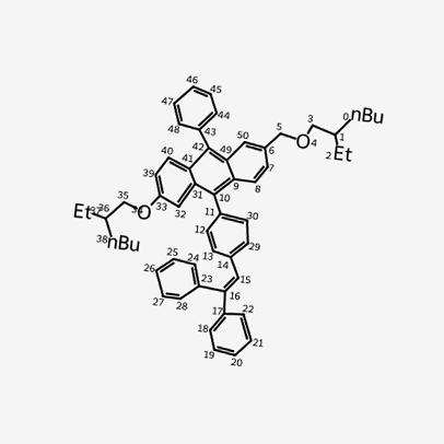 CCCCC(CC)COCc1ccc2c(-c3ccc(C=C(c4ccccc4)c4ccccc4)cc3)c3cc(OCC(CC)CCCC)ccc3c(-c3ccccc3)c2c1